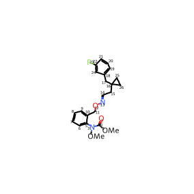 COC(=O)N(OC)c1ccccc1CON=CCC1(Cc2cccc(F)c2)CC1